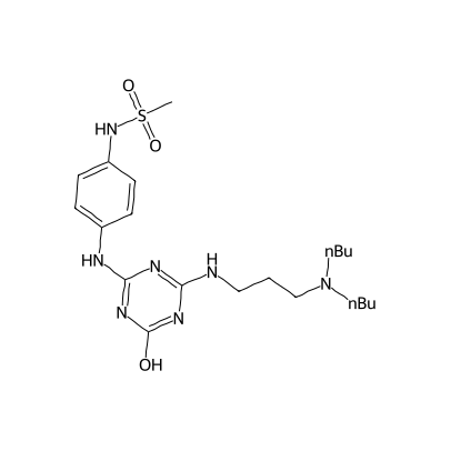 CCCCN(CCCC)CCCNc1nc(O)nc(Nc2ccc(NS(C)(=O)=O)cc2)n1